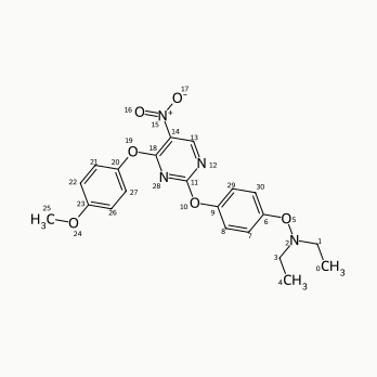 CCN(CC)Oc1ccc(Oc2ncc([N+](=O)[O-])c(Oc3ccc(OC)cc3)n2)cc1